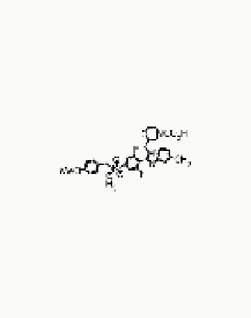 COc1ccc(CN(C)S(=O)(=O)c2cc(F)c(-c3nc4cc(C)ccn4c3CC3CN(C(=O)O)CCO3)c(F)c2)cc1